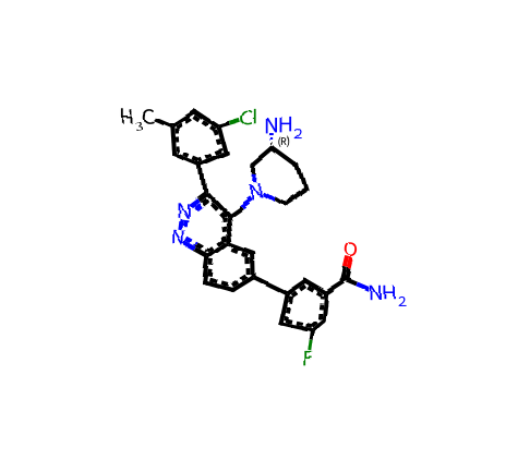 Cc1cc(Cl)cc(-c2nnc3ccc(-c4cc(F)cc(C(N)=O)c4)cc3c2N2CCC[C@@H](N)C2)c1